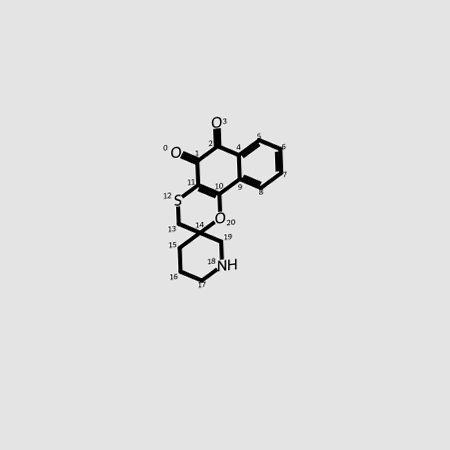 O=C1C(=O)c2ccccc2C2=C1SCC1(CCCNC1)O2